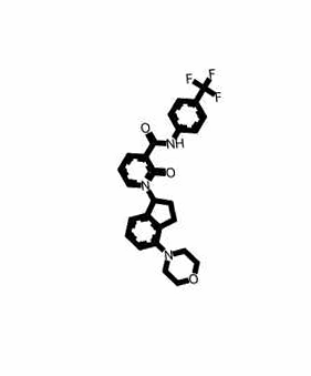 O=C(Nc1ccc(C(F)(F)F)cc1)c1cccn(C2CCc3c2cccc3N2CCOCC2)c1=O